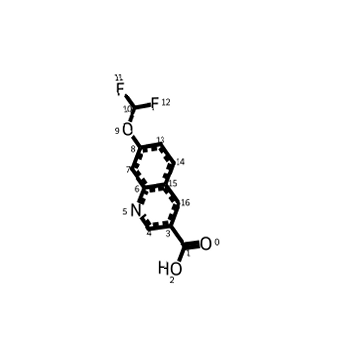 O=C(O)c1cnc2cc(OC(F)F)ccc2c1